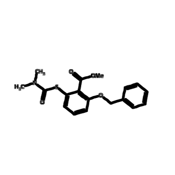 COC(=O)c1c(OCc2ccccc2)cccc1SC(=O)N(C)C